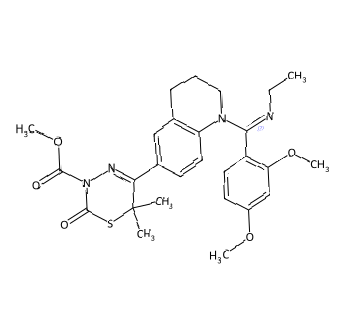 CC/N=C(/c1ccc(OC)cc1OC)N1CCCc2cc(C3=NN(C(=O)OC)C(=O)SC3(C)C)ccc21